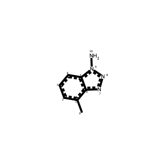 Cc1cccc2c1nnn2N